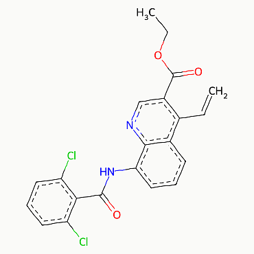 C=Cc1c(C(=O)OCC)cnc2c(NC(=O)c3c(Cl)cccc3Cl)cccc12